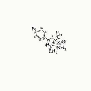 C=CC[C@@H](CC(C)(C)[S+](N)[O-])c1ccc(F)cc1